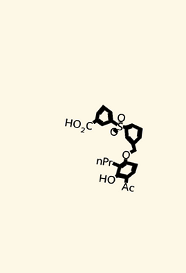 CCCc1c(OCc2cccc(S(=O)(=O)c3cccc(C(=O)O)c3)c2)ccc(C(C)=O)c1O